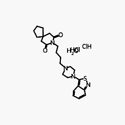 Cl.Cl.O.O=C1CC2(CCCC2)CC(=O)N1CCCCN1CCN(c2snc3ccccc23)CC1